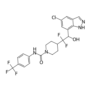 O=C(Nc1ccc(C(F)(F)F)cc1)N1CCC(C(F)(F)C(O)c2cc(Cl)cc3cn[nH]c23)CC1